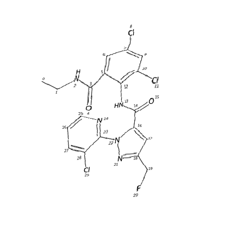 CCNC(=O)c1cc(Cl)cc(Cl)c1NC(=O)c1cc(CF)nn1-c1ncccc1Cl